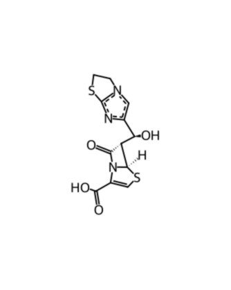 O=C(O)C1=CS[C@@H]2[C@@H]([C@H](O)c3cn4c(n3)SCC4)C(=O)N12